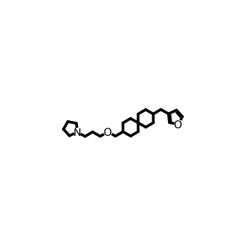 c1cc(CC2CCC3(CCC(COCCCN4CCCC4)CC3)CC2)co1